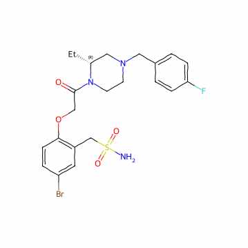 CC[C@@H]1CN(Cc2ccc(F)cc2)CCN1C(=O)COc1ccc(Br)cc1CS(N)(=O)=O